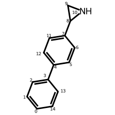 c1ccc(-c2ccc(C3CN3)cc2)cc1